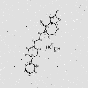 Cc1cc2c(s1)CCCN(CCCN1CCN(c3ncccn3)CC1)C2=O.Cl.Cl